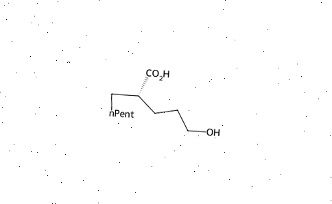 CCCCCC[C@@H](CCCO)C(=O)O